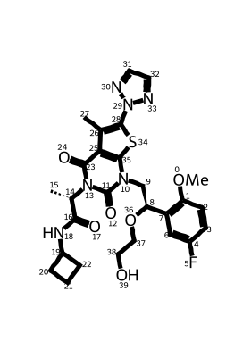 COc1ccc(F)cc1[C@H](Cn1c(=O)n([C@@H](C)C(=O)NC2CCC2)c(=O)c2c(C)c(-n3nccn3)sc21)OCCO